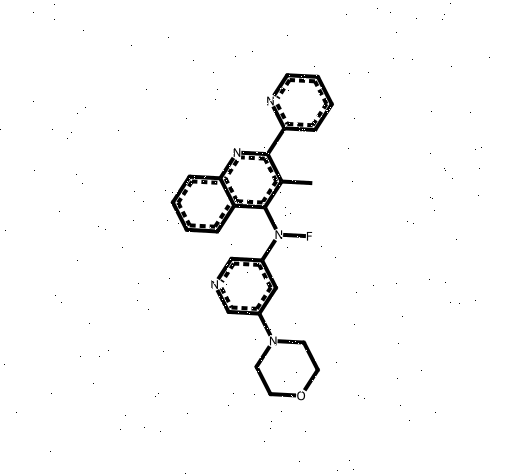 Cc1c(-c2ccccn2)nc2ccccc2c1N(F)c1cncc(N2CCOCC2)c1